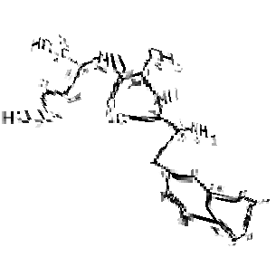 C[C@@H](NC(=O)[C@@H](N)Cc1ccc2ccccc2c1)C(=O)N[C@H](CCC(=O)O)C(=O)O